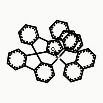 O=P(c1cccc2c1C1(c3ccccc3-2)c2ccccc2-c2c1sc1ccccc21)(c1cccc2ccccc12)c1cccc2ccccc12